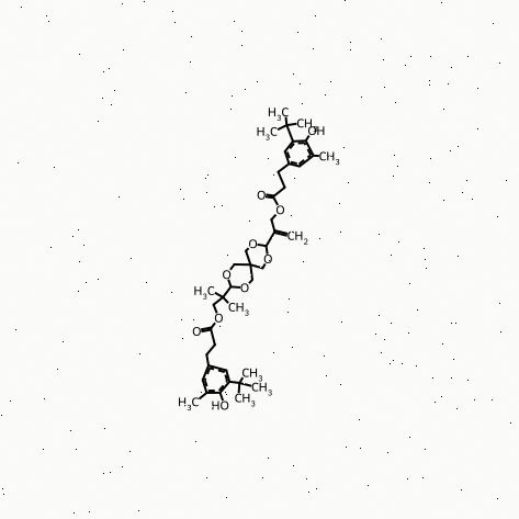 C=C(COC(=O)CCc1cc(C)c(O)c(C(C)(C)C)c1)C1OCC2(CO1)COC(C(C)(C)COC(=O)CCc1cc(C)c(O)c(C(C)(C)C)c1)OC2